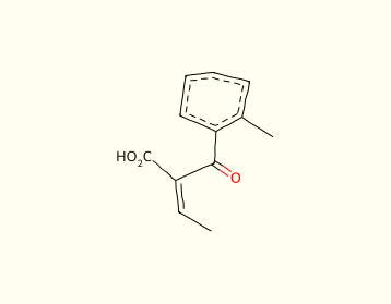 C/C=C(/C(=O)O)C(=O)c1ccccc1C